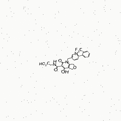 O=C(O)CNC(=O)c1c(O)c2c(n(Cc3ccc(-c4ccccc4C(F)(F)F)nc3)c1=O)COC2